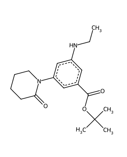 CCNc1cc(C(=O)OC(C)(C)C)cc(N2CCCCC2=O)c1